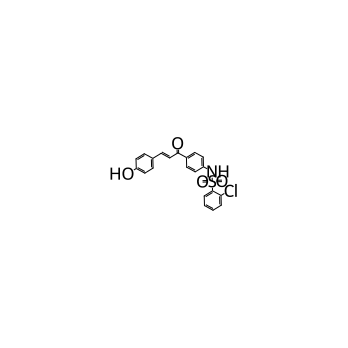 O=C(/C=C/c1ccc(O)cc1)c1ccc(NS(=O)(=O)c2ccccc2Cl)cc1